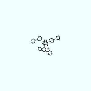 c1ccc(-c2ccc(-c3nc(-c4cccc(-c5ccccc5)c4)nc(-c4c5ccccc5cc5c4sc4ccccc45)n3)cc2)cc1